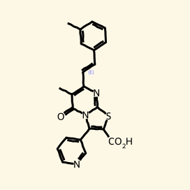 Cc1cccc(/C=C/c2nc3sc(C(=O)O)c(-c4cccnc4)n3c(=O)c2C)c1